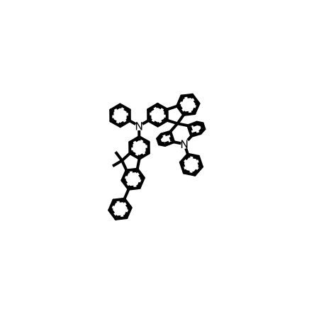 CC1(C)c2cc(-c3ccccc3)ccc2-c2ccc(N(c3ccccc3)c3ccc4c(c3)C3(c5ccccc5-4)c4ccccc4N(c4ccccc4)c4ccccc43)cc21